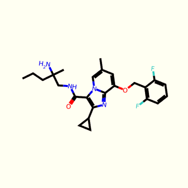 CCCC(C)(N)CNC(=O)c1c(C2CC2)nc2c(OCc3c(F)cccc3F)cc(C)cn12